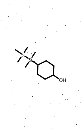 C[Si](C)(C)[Si](C)(C)C1CCC(O)CC1